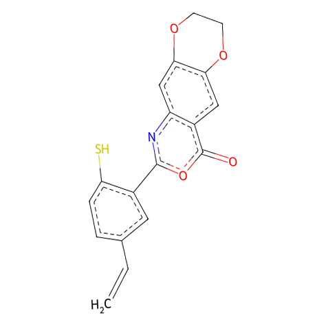 C=Cc1ccc(S)c(-c2nc3cc4c(cc3c(=O)o2)OCCO4)c1